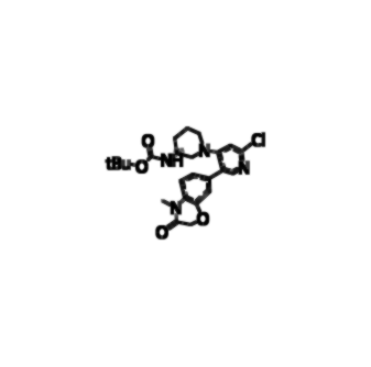 CN1C(=O)COc2cc(-c3cnc(Cl)cc3N3CCC[C@H](NC(=O)OC(C)(C)C)C3)ccc21